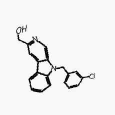 OCc1cc2c3ccccc3n(Cc3cccc(Cl)c3)c2cn1